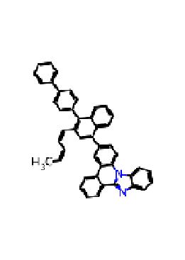 C/C=C\C=C/c1cc(-c2ccc3c(c2)c2ccccc2c2nc4ccccc4n32)c2ccccc2c1-c1ccc(-c2ccccc2)cc1